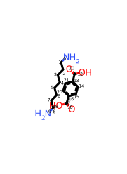 NCCCCCCCCN.O=C(O)c1ccc(C(=O)O)cc1